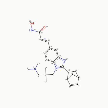 CN(C)CC(C)(C)Cn1c(C2CC3C=CC2C3)nc2cc(/C=C/C(=O)NO)ccc21